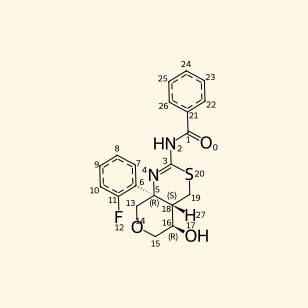 O=C(NC1=N[C@]2(c3ccccc3F)COC[C@H](O)[C@H]2CS1)c1ccccc1